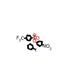 Ic1ccccc1.O=[N+]([O-])c1ccc(OS(=O)(=O)c2ccc(C(F)(F)F)cc2)cc1